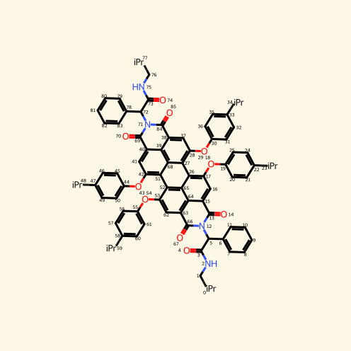 CC(C)CNC(=O)C(c1ccccc1)N1C(=O)c2cc(Oc3ccc(C(C)C)cc3)c3c4c(Oc5ccc(C(C)C)cc5)cc5c6c(cc(Oc7ccc(C(C)C)cc7)c(c7c(Oc8ccc(C(C)C)cc8)cc(c2c37)C1=O)c64)C(=O)N(C(C(=O)NCC(C)C)c1ccccc1)C5=O